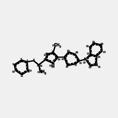 Cc1nc([C@@H](N)Cc2ccccn2)[nH]c1-c1ccc(-n2cnc3ccccc32)cc1